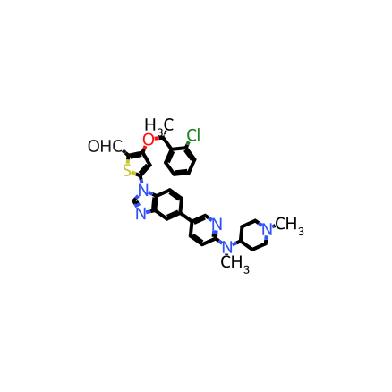 C[C@@H](Oc1cc(-n2cnc3cc(-c4ccc(N(C)C5CCN(C)CC5)nc4)ccc32)sc1C=O)c1ccccc1Cl